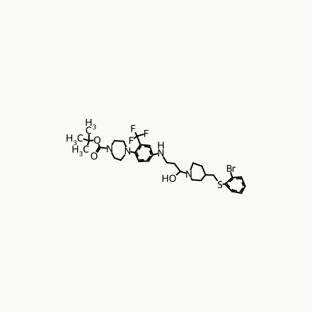 CC(C)(C)OC(=O)N1CCN(c2ccc(NCCC(O)N3CCC(CSc4ccccc4Br)CC3)cc2C(F)(F)F)CC1